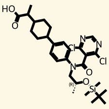 CC(C(=O)O)C1CCC(c2ccc(N(C[C@@H](C)O[Si](C)(C)C(C)(C)C)C(=O)c3c(Cl)ncnc3Cl)cc2)CC1